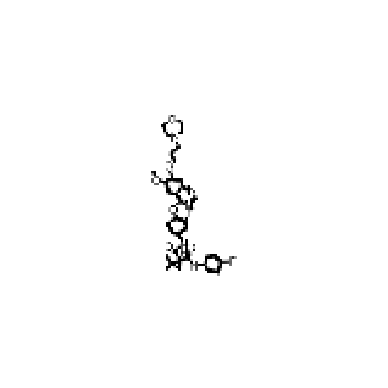 COc1cc2c(Oc3ccc(NC(=O)C4(C(=O)NC5C=CC(F)=CC5)CC4(C)C)cc3F)ncnc2cc1OCCCN1CCOCC1